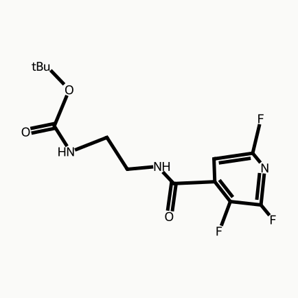 CC(C)(C)OC(=O)NCCNC(=O)c1cc(F)nc(F)c1F